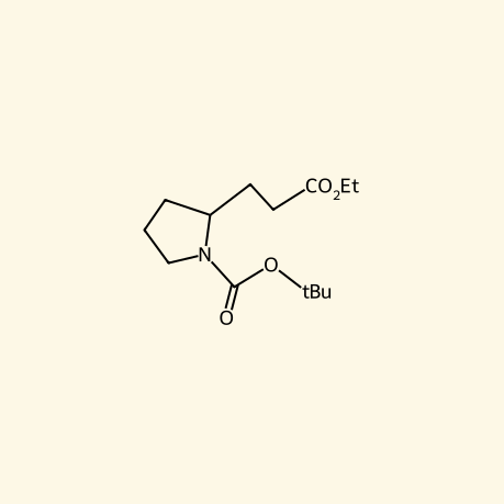 CCOC(=O)CCC1CCCN1C(=O)OC(C)(C)C